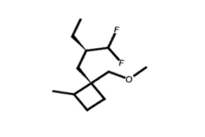 CC[C@H](C[C@@]1(COC)CCC1C)C(F)F